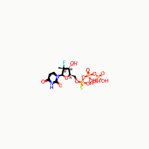 C[C@]1(F)C(n2ccc(=O)[nH]c2=O)O[C@H](COP(O)(=S)OP(=O)(O)OP(=O)(O)O)[C@H]1O